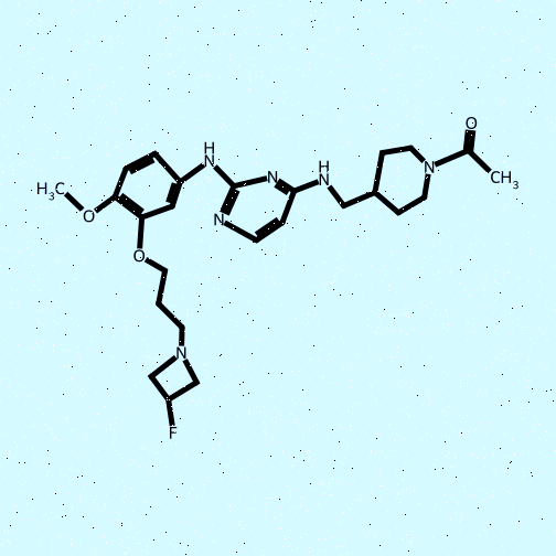 COc1ccc(Nc2nccc(NCC3CCN(C(C)=O)CC3)n2)cc1OCCCN1CC(F)C1